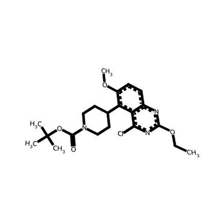 CCOc1nc(Cl)c2c(C3CCN(C(=O)OC(C)(C)C)CC3)c(OC)ccc2n1